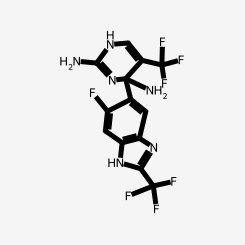 NC1=NC(N)(c2cc3nc(C(F)(F)F)[nH]c3cc2F)C(C(F)(F)F)=CN1